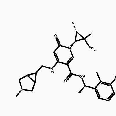 Cc1c(C#N)cccc1[C@@H](C)NC(=O)c1cn([C@H]2[C@H](C)C2(F)P)c(=O)cc1NCC1C2CN(C)CC12